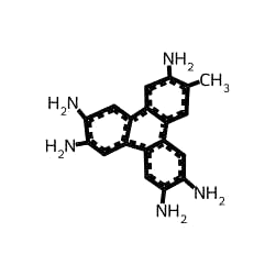 Cc1cc2c(cc1N)c1cc(N)c(N)cc1c1cc(N)c(N)cc21